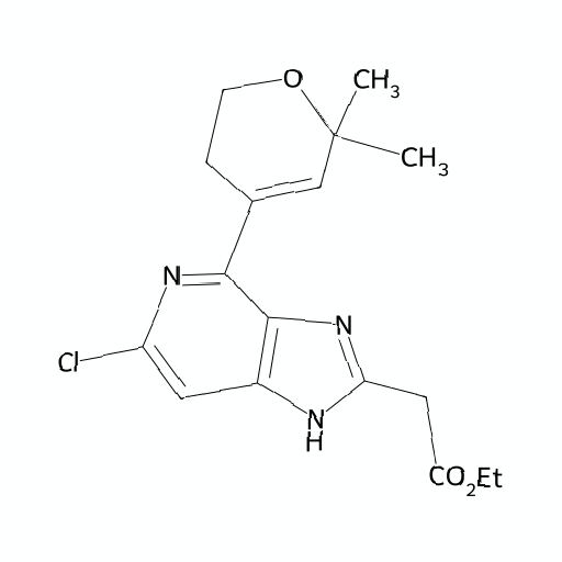 CCOC(=O)Cc1nc2c(C3=CC(C)(C)OCC3)nc(Cl)cc2[nH]1